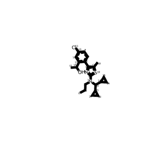 CCCN(c1nc(-c2ccc(Cl)cc2C(C)O)c(C)s1)C(C1CC1)C1CC1